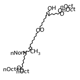 CCCCCCCCCN(CCCCCCCC(=O)OC(CCCCCCCC)CCCCCCCC)CCC1(C)CC(CCCCCCCCOC(=O)CCCCCCCN(CCO)CCCCCC(=O)OC(CCCCCCCC)CCCCCCCC)C1